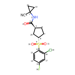 N#CC1(NC(=O)[C@H]2CC[C@H](S(=O)(=O)c3ccc(F)cc3Cl)C2)CC1